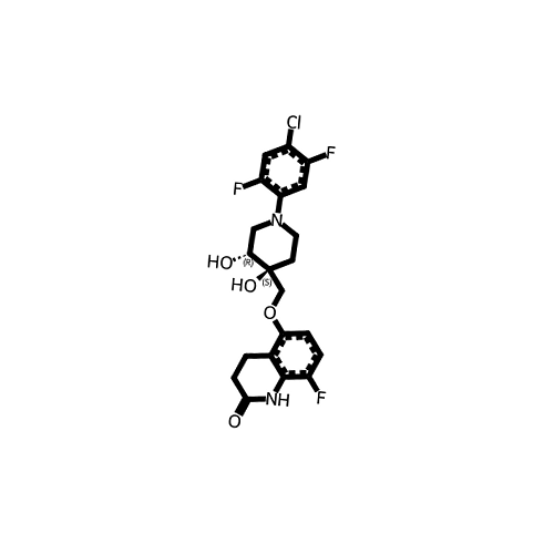 O=C1CCc2c(OC[C@@]3(O)CCN(c4cc(F)c(Cl)cc4F)C[C@H]3O)ccc(F)c2N1